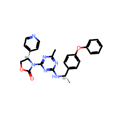 Cc1nc(N[C@@H](C)c2ccc(Oc3ccccc3)cc2)nc(N2C(=O)OC[C@@H]2c2ccncc2)n1